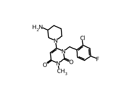 Cn1c(=O)cc(N2CCCC(N)C2)n(Cc2ccc(F)cc2Cl)c1=O